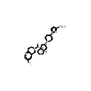 CCOC(=O)c1ccn(C2CCN([C@H]3C[C@H]4CCC[C@@]4(C(=O)N4CCc5ncc(C(F)(F)F)cc5C4)C3)CC2)n1